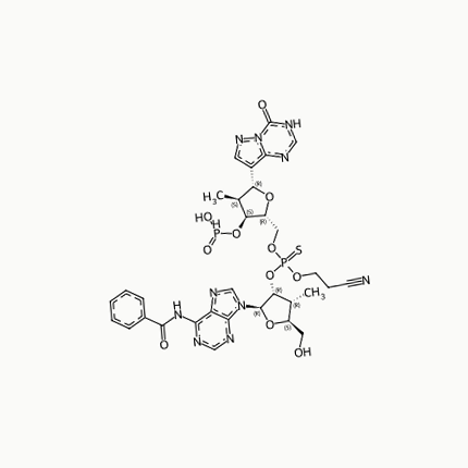 C[C@@H]1[C@H](O[PH](=O)O)[C@@H](COP(=S)(OCCC#N)O[C@@H]2[C@H](C)[C@@H](CO)O[C@H]2n2cnc3c(NC(=O)c4ccccc4)ncnc32)O[C@H]1c1cnn2c(=O)[nH]cnc12